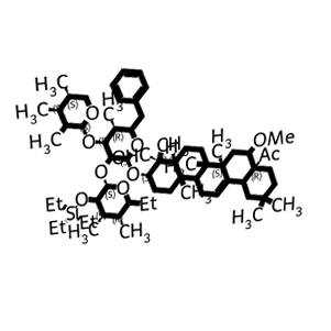 CCC1O[C@@H](OC2[C@H](O[C@H]3CCC4(C)C5CC=C6C7CC(C)(C)CC[C@]7(C(C)=O)C(OC)C[C@@]6(C)C5(C)CC[C@H]4[C@@]3(C)C=O)OC(Cc3ccccc3)[C@@H](C)[C@@H]2O[C@@H]2OC[C@@H](C)[C@H](C)C2C)C(O[Si](CC)(CC)CC)[C@@H](C)[C@H]1C